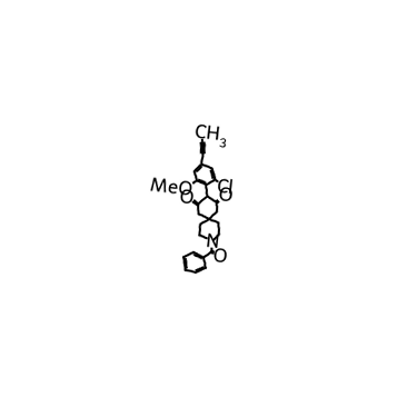 CC#Cc1cc(Cl)c(C2C(=O)CC3(CCN(C(=O)c4ccccc4)CC3)CC2=O)c(OC)c1